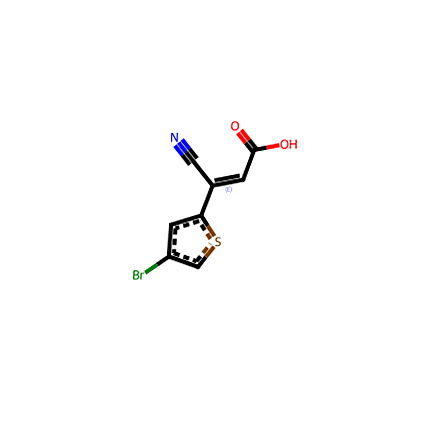 N#C/C(=C\C(=O)O)c1cc(Br)cs1